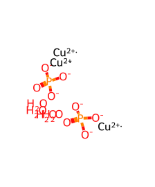 O.O.O.O.O=P([O-])([O-])[O-].O=P([O-])([O-])[O-].[Cu+2].[Cu+2].[Cu+2]